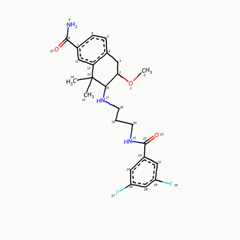 COC1Cc2ccc(C(N)=O)cc2C(C)(C)C1NCCCNC(=O)c1cc(F)cc(F)c1